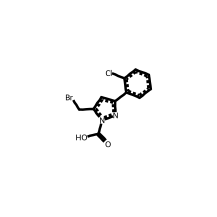 O=C(O)n1nc(-c2ccccc2Cl)cc1CBr